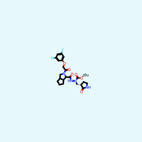 CC(C)(C)OC(=O)N(C[C@@H]1CCNC1=O)NC(=O)C1C2CCCC2CN1C(=O)COc1cc(F)cc(F)c1